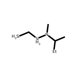 CCC(C)N(C)[SiH2]C[SiH3]